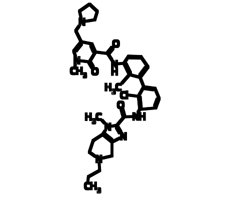 CCCN1CCc2c(nc(C(=O)Nc3cccc(-c4cccc(NC(=O)c5cc(CN6CCCC6)cn(C)c5=O)c4C)c3Cl)n2C)C1